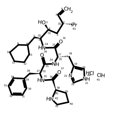 C=C[C@@H](C[C@H](O)[C@H](CC1CCCCC1)NC(=O)[C@H](Cc1c[nH]cn1)NC(=O)[C@H](Cc1ccccc1)NC(=O)[C@H]1CCCN1)C(C)C.Cl.Cl